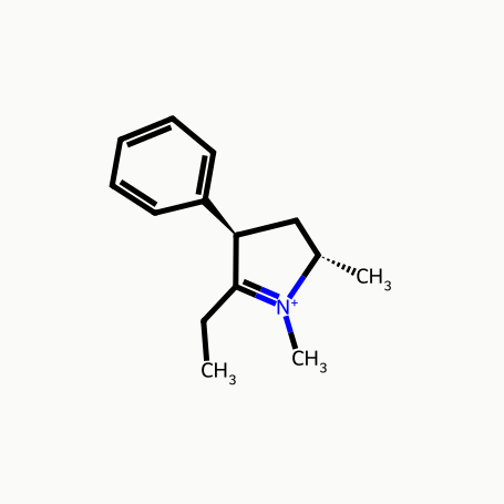 CCC1=[N+](C)[C@@H](C)C[C@@H]1c1ccccc1